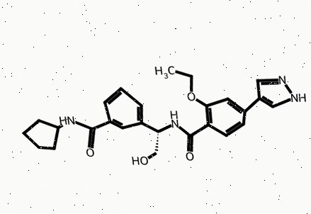 CCOc1cc(-c2cn[nH]c2)ccc1C(=O)N[C@H](CO)c1cccc(C(=O)NC2CCCC2)c1